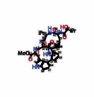 COC(=O)c1nc2oc1-c1c[nH]c3cccc(c13)-c1cccc3c1NC1Oc4ccc5cc4[C@]31c1oc(nc1-2)[C@H](C(C)C)NC(=O)[C@@H](NC(=O)[C@@H](O)C(C)C)C5